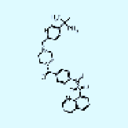 CC(P)(P)c1ccc(CN2CCN(C(=O)c3ccc(N(I)S(=O)(=O)c4cccc5c4N=CCC5)cc3)CC2)nc1